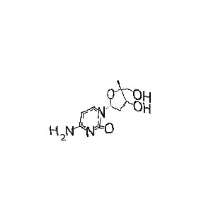 C[C@]1(CO)O[C@@H](n2ccc(N)nc2=O)CC1O